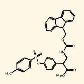 COC(=O)C(CNC(=O)OCC1c2ccccc2-c2ccccc21)c1ccc(OS(=O)(=O)c2ccc(C)cc2)cc1